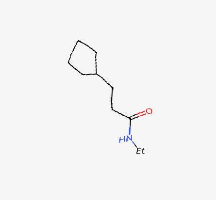 [CH2]CNC(=O)CCC1CCCC1